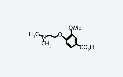 COc1cc(C(=O)O)ccc1OCCN(C)C